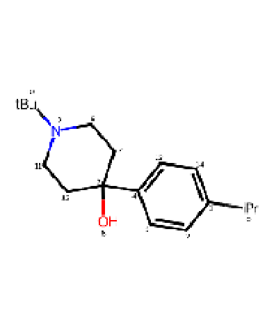 CC(C)c1ccc(C2(O)CCN(C(C)(C)C)CC2)cc1